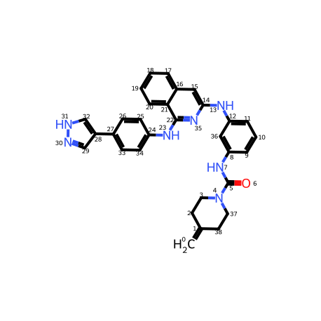 C=C1CCN(C(=O)Nc2cccc(Nc3cc4ccccc4c(Nc4ccc(-c5cn[nH]c5)cc4)n3)c2)CC1